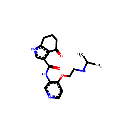 CC(C)NCCOc1ccncc1NC(=O)c1c[nH]c2c1C(=O)CCC2